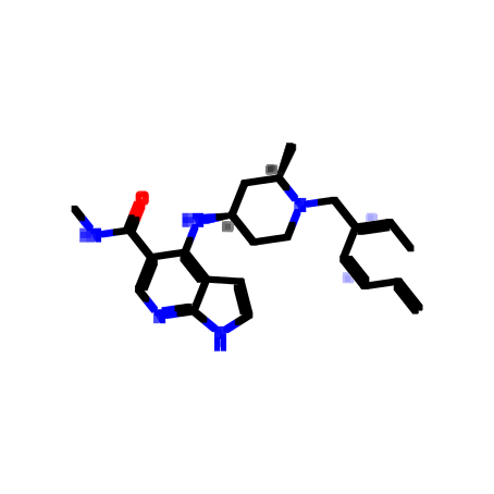 C=C/C=C\C(=C/C)CN1CC[C@@H](Nc2c(C(=O)NC)cnc3[nH]ccc23)C[C@H]1C